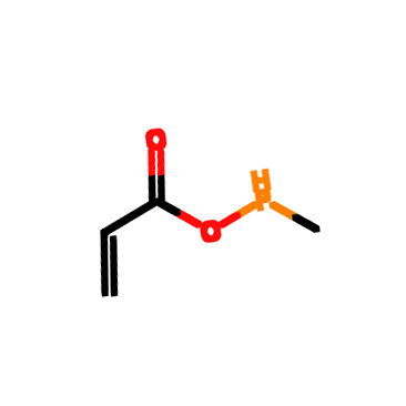 C=CC(=O)OPC